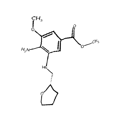 COC(=O)c1cc(NC[C@@H]2CCCO2)c(N)c(OC)c1